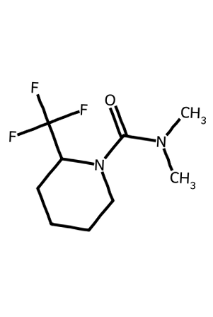 CN(C)C(=O)N1CCCCC1C(F)(F)F